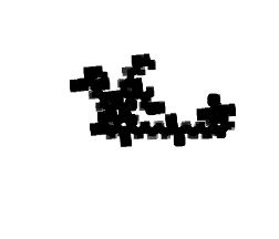 CC(CO)NC(=O)C(CCCCN)NC(=O)C(CCCNC(=N)N)NC(=O)C(CO)NC(=O)CCCCCNC(=O)CCCCC1SCC2NC(=O)NC21